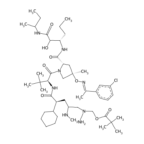 CCC[C@H](NC(=O)[C@@H]1C[C@@](C)(O/N=C(\C)c2cccc(Cl)c2)CN1C(=O)[C@@H](NC(=O)[C@@H](CC(CN(N)COC(=O)C(C)(C)C)NC)C1CCCCC1)C(C)(C)C)C(O)C(=O)NC(C)CC